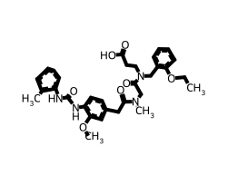 CCOc1ccccc1CN(CCC(=O)O)C(=O)CN(C)C(=O)Cc1ccc(NC(=O)Nc2ccccc2C)c(OC)c1